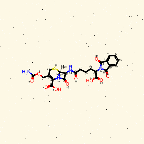 NC(=O)OCC1=C(C(=O)O)N2C(=O)C(NC(=O)CCCC(C(=O)O)N3C(=O)c4ccccc4C3=O)[C@@H]2SC1